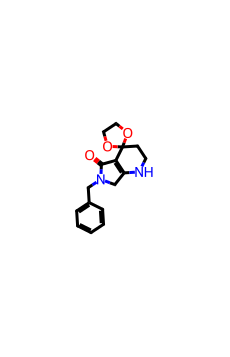 O=C1C2=C(CN1Cc1ccccc1)NCCC21OCCO1